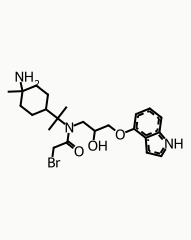 CC1(N)CCC(C(C)(C)N(CC(O)COc2cccc3[nH]ccc23)C(=O)CBr)CC1